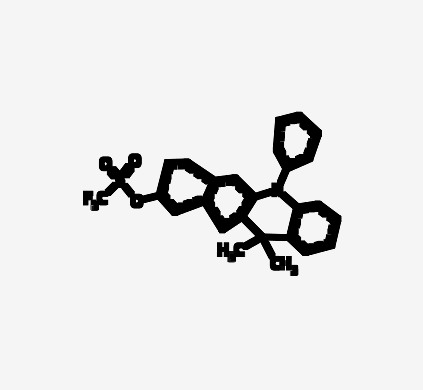 CC1(C)c2ccccc2N(c2ccccc2)c2cc3ccc(OS(=O)(=O)C(F)(F)F)cc3cc21